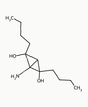 CCCCC1(O)C2C(O)(CCCC)C21N